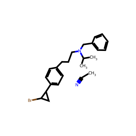 CC#N.CC(C)N(CCCc1ccc(C2CC2Br)cc1)Cc1ccccc1